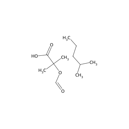 CC(C)(OC=O)C(=O)O.CCCC(C)C